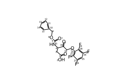 O=C(O)CC(NC(=O)OCc1ccccc1)C(=O)COc1c(F)c(F)cc(F)c1F